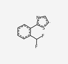 FC(F)c1ccccc1-c1nc[c]s1